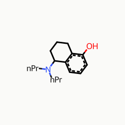 CCCN(CCC)C1CCCc2c(O)cccc21